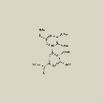 COCc1cc(OC)c(OC)c(-c2cc(C(=O)OC)cc(OC)c2OC)c1